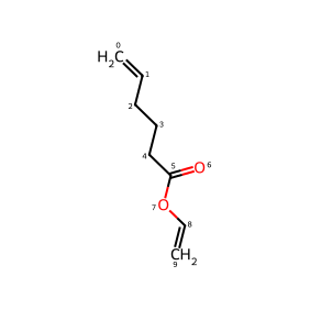 C=CCCCC(=O)OC=C